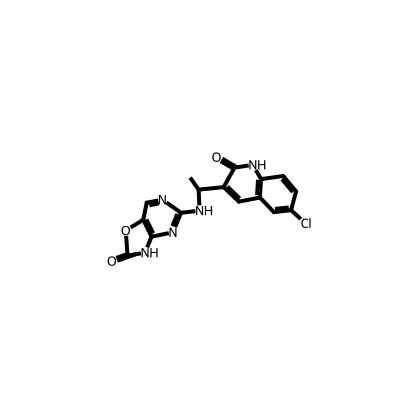 CC(Nc1ncc2oc(=O)[nH]c2n1)c1cc2cc(Cl)ccc2[nH]c1=O